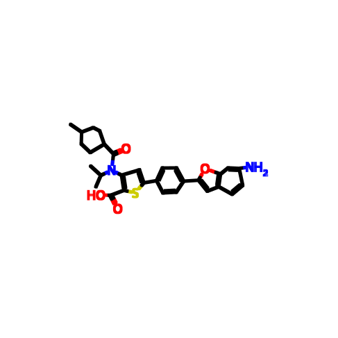 CC1CCC(C(=O)N(c2cc(-c3ccc(-c4cc5ccc(N)cc5o4)cc3)sc2C(=O)O)C(C)C)CC1